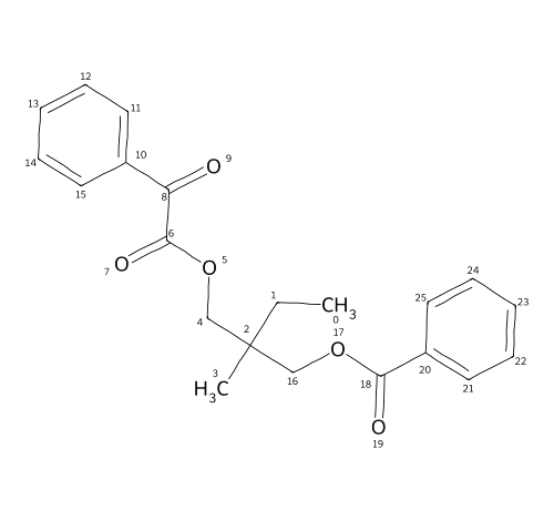 CCC(C)(COC(=O)C(=O)c1ccccc1)COC(=O)c1ccccc1